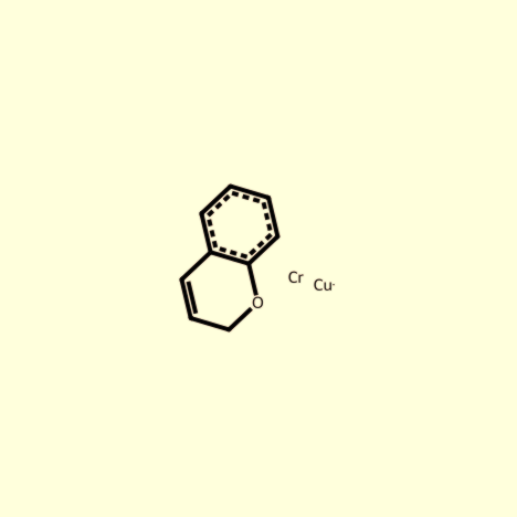 C1=Cc2ccccc2OC1.[Cr].[Cu]